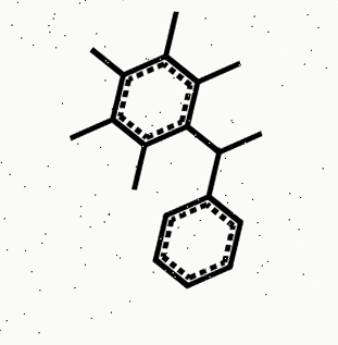 C[C](c1ccccc1)c1c(C)c(C)c(C)c(C)c1C